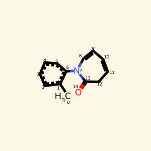 Cc1ccccc1N1C=CC=CCC1=O